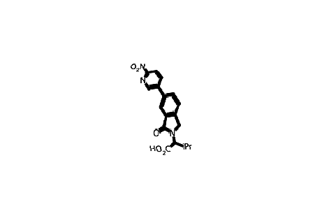 CC(C)C(C(=O)O)N1Cc2ccc(-c3ccc([N+](=O)[O-])nc3)cc2C1=O